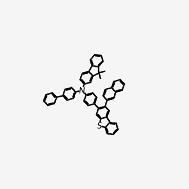 CC1(C)c2ccccc2-c2ccc(N(c3ccc(-c4ccccc4)cc3)c3ccc(-c4cc5sc6ccccc6c5cc4-c4ccc5ccccc5c4)cc3)cc21